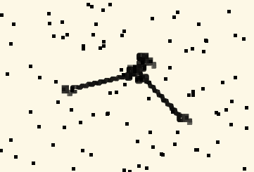 CCCCC=CCC=CCCCCCCCCOC(=O)CC(CC(=O)OCCCCCCCCC=CCC=CCCCCC)NC(=O)CN(C)C